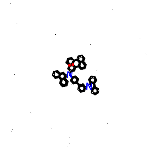 c1ccc(-c2cccc3cccc(-c4cccc(N(c5ccc(-c6cccc(-n7c8ccccc8c8ccccc87)c6)cc5)c5cc6ccccc6c6ccccc56)c4)c23)cc1